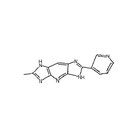 Cc1nc2nc3[nH]c(-c4cccnc4)nc3cc2[nH]1